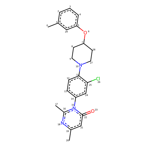 Cc1cccc(OC2CCN(c3ccc(-n4c(C)nc(C)cc4=O)cc3Cl)CC2)c1